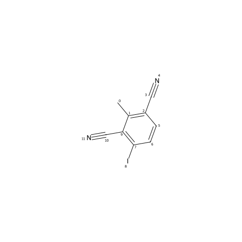 Cc1c(C#N)ccc(I)c1C#N